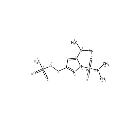 CC(=O)N(C)c1cc(COS(C)(=O)=O)nn1S(=O)(=O)N(C)C